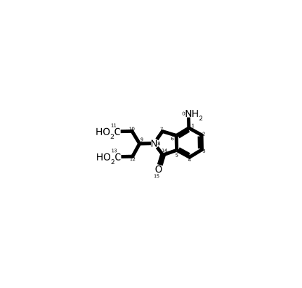 Nc1cccc2c1CN(C(CC(=O)O)CC(=O)O)C2=O